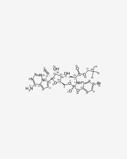 C[C@H](NP(=O)(OC[C@H]1O[C@@](C#N)(c2ccc3c(N)ncnn23)[C@H](O)[C@@H]1O)Oc1ccc(Br)cc1)C(=O)OCC(C)(C)C